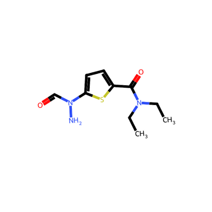 CCN(CC)C(=O)c1ccc(N(N)C=O)s1